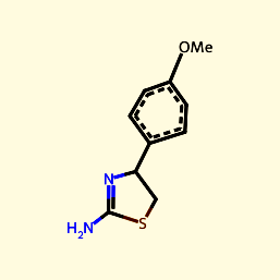 COc1ccc(C2CSC(N)=N2)cc1